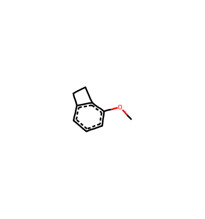 COc1cccc2c1CC2